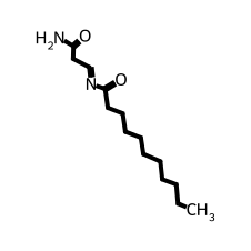 CCCCCCCCCCC(=O)N=CCC(N)=O